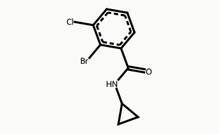 O=C(NC1CC1)c1cccc(Cl)c1Br